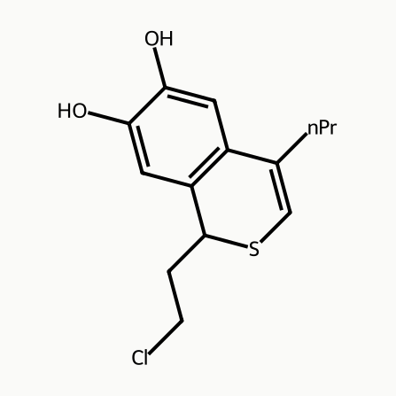 CCCC1=CSC(CCCl)c2cc(O)c(O)cc21